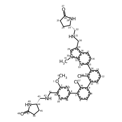 COc1nc(-c2cccc(-c3cccc(-c4ccc5c(CNC[C@@H]6CCC(=O)N6)cn(C)c5n4)c3Cl)c2Cl)cnc1CNC[C@@H]1CCC(=O)N1